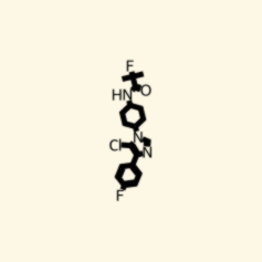 CC(C)(F)C(=O)NC1CCC(n2cnc(-c3ccc(F)cc3)c2Cl)CC1